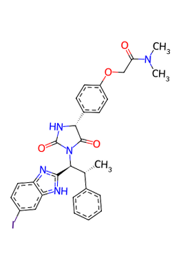 C[C@H](c1ccccc1)[C@@H](c1nc2ccc(I)cc2[nH]1)N1C(=O)N[C@H](c2ccc(OCC(=O)N(C)C)cc2)C1=O